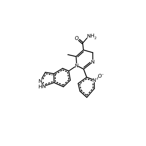 CC1=C(C(N)=O)CN=C(c2cccc[n+]2[O-])N1c1ccc2[nH]ncc2c1